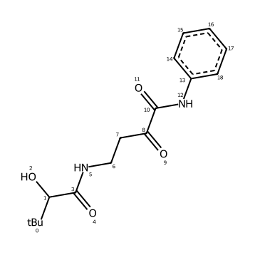 CC(C)(C)C(O)C(=O)NCCC(=O)C(=O)Nc1ccccc1